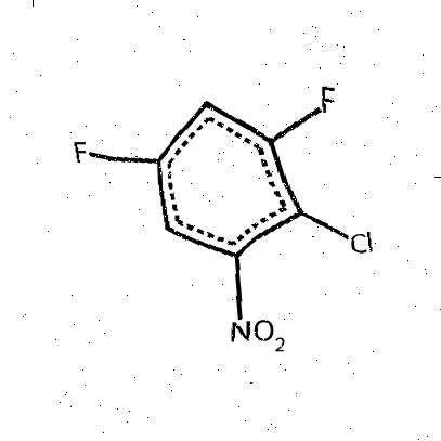 O=[N+]([O-])c1cc(F)cc(F)c1Cl